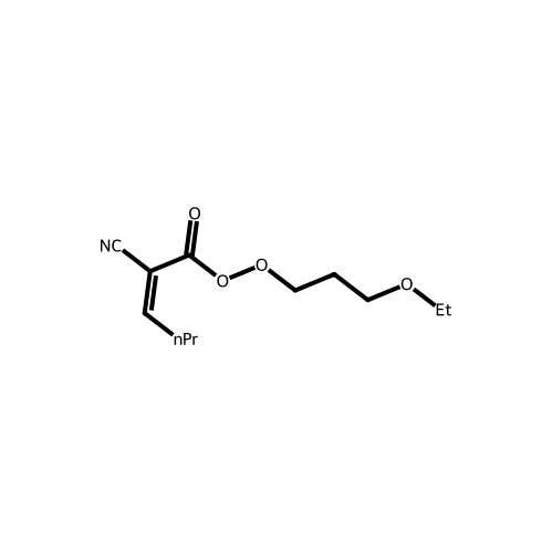 CCCC=C(C#N)C(=O)OOCCCOCC